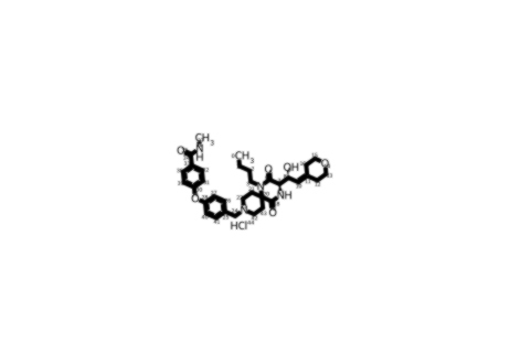 CCCCN1C(=O)[C@@H]([C@H](O)C=C2CCOCC2)NC(=O)C12CCN(Cc1ccc(Oc3ccc(C(=O)NC)cc3)cc1)CC2.Cl